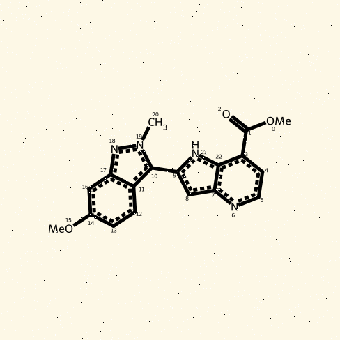 COC(=O)c1ccnc2cc(-c3c4ccc(OC)cc4nn3C)[nH]c12